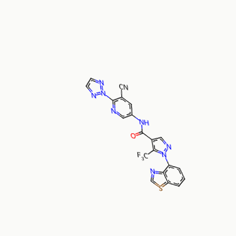 N#Cc1cc(NC(=O)c2cnn(-c3cccc4scnc34)c2C(F)(F)F)cnc1-n1nccn1